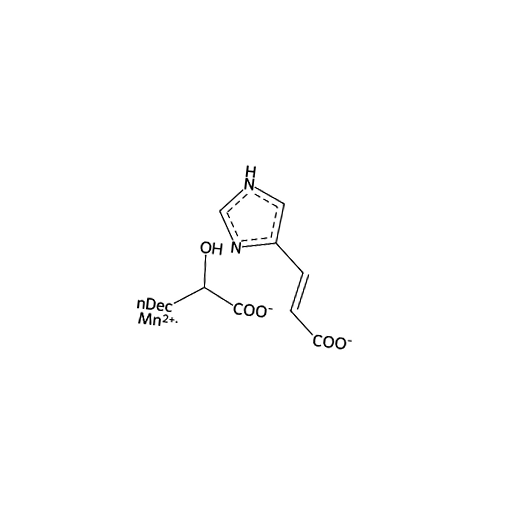 CCCCCCCCCCC(O)C(=O)[O-].O=C([O-])C=Cc1c[nH]cn1.[Mn+2]